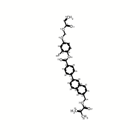 C=CC(=O)OCOc1ccc(OC(=O)c2ccc(-c3ccc4cc(COC(=O)C(=C)C)ccc4c3)cc2)c(F)c1